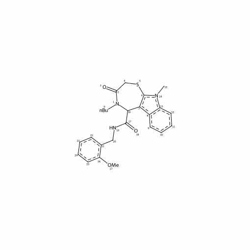 CCCCN1C(=O)CSc2c(c3ccccc3n2C)C1C(=O)NCc1ccccc1OC